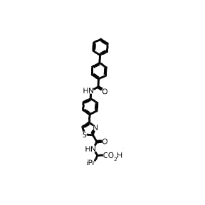 CC(C)C(NC(=O)c1nc(-c2ccc(NC(=O)c3ccc(-c4ccccc4)cc3)cc2)cs1)C(=O)O